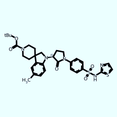 Cc1ccc2c(c1)C1(CCN(C(=O)OC(C)(C)C)CC1)CN2[C@H]1CCN(c2ccc(S(=O)(=O)Nc3nccs3)cc2)C1=O